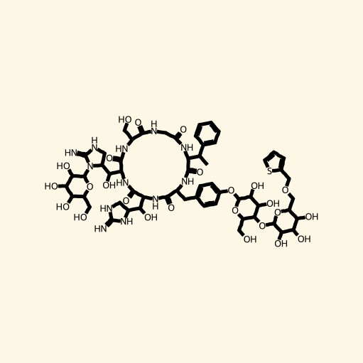 CC(c1ccccc1)C1NC(=O)CNC(=O)C(CO)NC(=O)C(C(O)C2CNC(=N)N2C2OC(CO)C(O)C(O)C2O)NC(=O)C(C(O)C2CNC(=N)N2)NC(=O)C(Cc2ccc(OC3OC(CO)C(OC4OC(COCc5cccs5)C(O)C(O)C4O)C(O)C3O)cc2)NC1=O